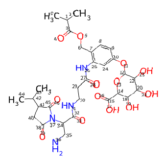 CC(C)C(=O)OCc1ccc(OC2OC(C(=O)O)C(O)C(O)C2O)cc1NC(=O)CCNC(=O)C(CN)N1C(=O)CC(C(C)C)C1=O